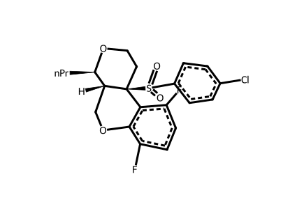 CCC[C@H]1OCC[C@]2(S(=O)(=O)c3ccc(Cl)cc3)c3c(F)ccc(F)c3OC[C@H]12